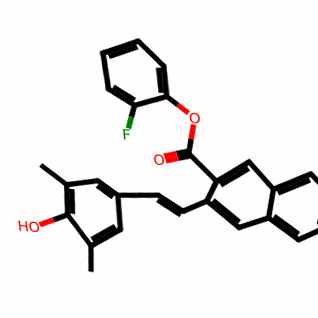 Cc1cc(/C=C/c2cc3ccccc3cc2C(=O)Oc2ccccc2F)cc(C)c1O